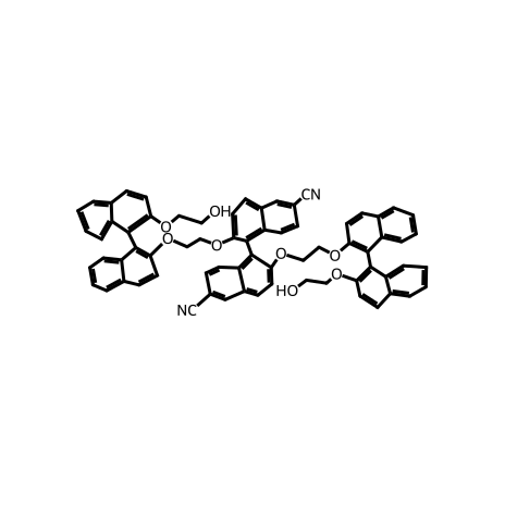 N#Cc1ccc2c(-c3c(OCCOc4ccc5ccccc5c4-c4c(OCCO)ccc5ccccc45)ccc4cc(C#N)ccc34)c(OCCOc3ccc4ccccc4c3-c3c(OCCO)ccc4ccccc34)ccc2c1